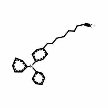 C#CCCCCCCCc1ccc(N(c2ccccc2)c2ccccc2)cc1